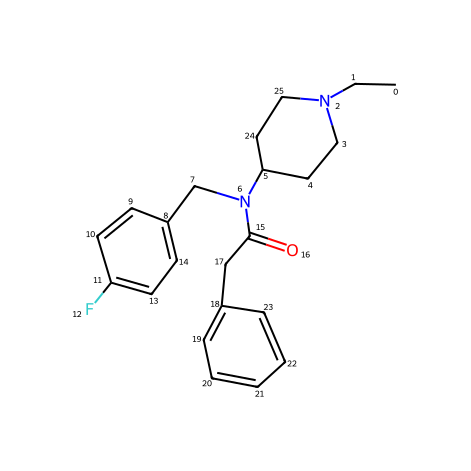 CCN1CCC(N(Cc2ccc(F)cc2)C(=O)Cc2ccccc2)CC1